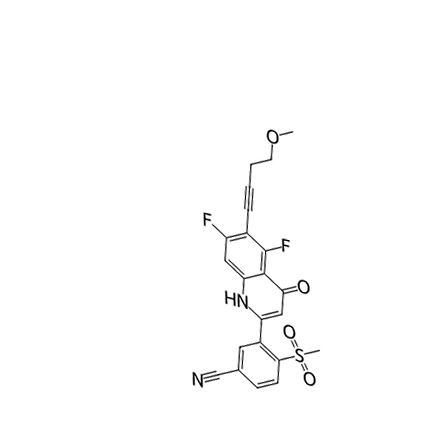 COCCC#Cc1c(F)cc2[nH]c(-c3cc(C#N)ccc3S(C)(=O)=O)cc(=O)c2c1F